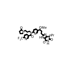 CCCn1c(=O)[nH]c(=O)c2[nH]c(CC[C@H](OC)c3ccc(N(CCCN4CCCC4=O)C(=O)c4ccc(C(F)(F)F)nc4)nc3)nc21